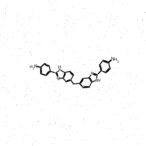 Nc1ccc(-c2nc3cc(Cc4ccc5[nH]c(-c6ccc(N)cc6)nc5c4)ccc3[nH]2)cc1